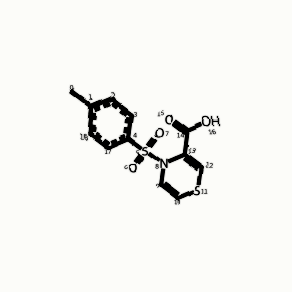 Cc1ccc(S(=O)(=O)N2C=CSC=C2C(=O)O)cc1